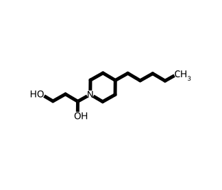 CCCCCC1CCN(C(O)CCO)CC1